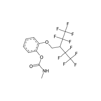 CNC(=O)Oc1ccccc1OCC(C(F)(F)C(F)(F)F)C(F)(F)C(F)(F)F